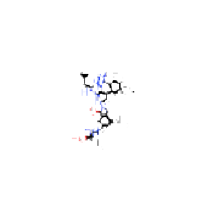 Cn1cnnc1-c1ccc(C#N)cc1-c1cc(NCCC2CC2)nc(N2Cc3c(cc(CNCC(C)(C)O)cc3C(F)(F)F)C2=O)c1